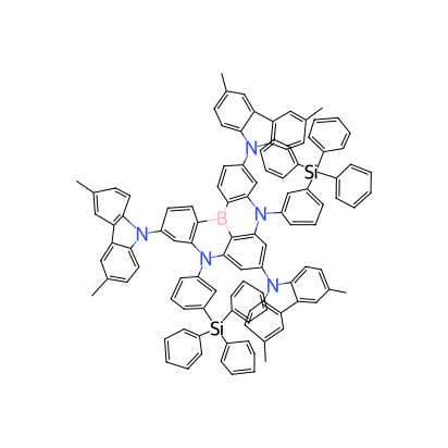 Cc1ccc2c(c1)c1cc(C)ccc1n2-c1ccc2c(c1)N(c1cccc([Si](c3ccccc3)(c3ccccc3)c3ccccc3)c1)c1cc(-n3c4ccc(C)cc4c4cc(C)ccc43)cc3c1B2c1ccc(-n2c4ccc(C)cc4c4cc(C)ccc42)cc1N3c1cccc([Si](c2ccccc2)(c2ccccc2)c2ccccc2)c1